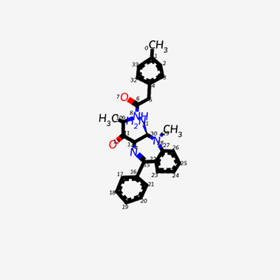 Cc1ccc(CC(=O)NC(C)C(=O)C2N=C(c3ccccc3)c3ccccc3N(C)[C@@H]2N)cc1